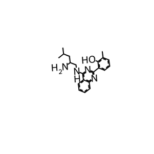 Cc1cccc(-c2nc(NCC(N)CC(C)C)c3ccccc3n2)c1O